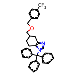 FC(F)(F)c1ccc(COCC2CCc3c(ncn3C(c3ccccc3)(c3ccccc3)c3ccccc3)C2)cc1